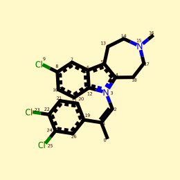 C/C(=C/n1c2c(c3cc(Cl)ccc31)CCN(C)CC2)c1ccc(Cl)c(Cl)c1